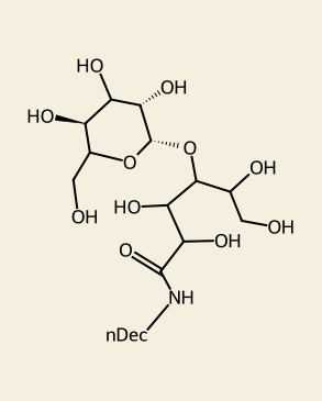 CCCCCCCCCCNC(=O)C(O)C(O)C(O[C@@H]1OC(CO)[C@@H](O)C(O)[C@@H]1O)C(O)CO